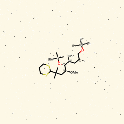 CO[C@@H](C[C@@H](C)CO[Si](C(C)C)(C(C)C)C(C)C)[C@@H](O[Si](C)(C)C(C)(C)C)[C@H](CC(C)(C)C1SCCCS1)OC